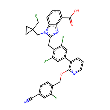 N#Cc1ccc(COc2ncccc2-c2cc(F)c(Cc3nc4c(C(=O)O)cccc4n3CC3(CF)CC3)c(F)c2)c(F)c1